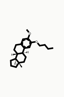 CCCCOc1cc2c(cc1OC)CC[C@@H]1[C@@H]2CC[C@]2(C)CCC[C@@H]12